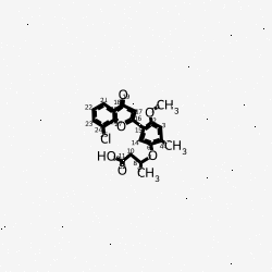 COc1cc(C)c(OC(C)CC(=O)O)cc1-c1cc(=O)c2cccc(Cl)c2o1